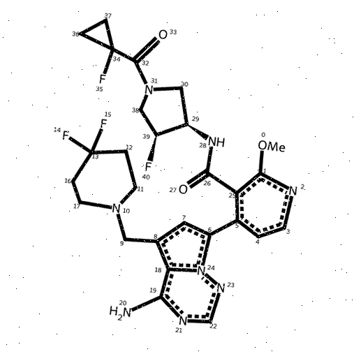 COc1nccc(-c2cc(CN3CCC(F)(F)CC3)c3c(N)ncnn23)c1C(=O)N[C@@H]1CN(C(=O)C2(F)CC2)C[C@@H]1F